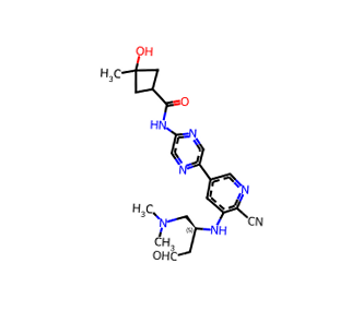 CN(C)C[C@H](CC=O)Nc1cc(-c2cnc(NC(=O)C3CC(C)(O)C3)cn2)cnc1C#N